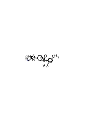 Cc1ccc(C)c(NC(=O)N2CCC(c3nc(/C=N\O)cs3)CC2)c1